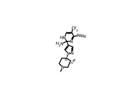 CNC1=NC(N)(c2cnn([C@@H]3CCN(C)C[C@H]3F)c2)NC=C1C(F)(F)F